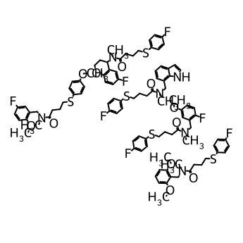 CN(C(=O)CCCSc1ccc(F)cc1)C1CCOc2ccc(F)cc21.CN(Cc1cccc2cc[nH]c12)C(=O)CCCSc1ccc(F)cc1.COc1ccc(F)c(CN(C)C(=O)CCCSc2ccc(F)cc2)c1.COc1ccc(SCCCC(=O)N(C)Cc2cc(F)ccc2OC)cc1.COc1cccc(OC)c1CN(C)C(=O)CCCSc1ccc(F)cc1